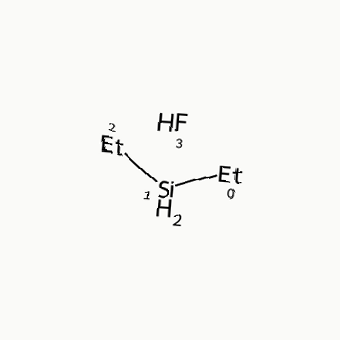 CC[SiH2]CC.F